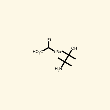 CC(C)(N)C(C)(C)O.CCCCC(CC)C(=O)O